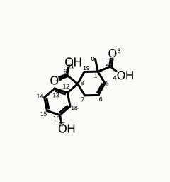 CC1(C(=O)O)C=CCC(C(=O)O)(c2cccc(O)c2)C1